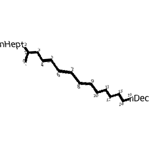 [CH2]C(CCCCCCC)CCCCCCCCCCCCCCCCCCCCCC